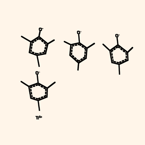 Cc1cc(C)c([O-])c(C)c1.Cc1cc(C)c([O-])c(C)c1.Cc1cc(C)c([O-])c(C)c1.Cc1cc(C)c([O-])c(C)c1.[Ti+4]